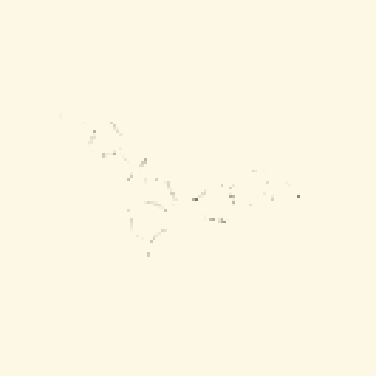 CCOC(=O)CC(Nc1nc(-c2cn(S(=O)(=O)c3ccc(C)cc3)c3ncc(F)cc23)ncc1F)C1(C(F)(F)F)CCCC1